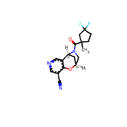 CC1(C(=O)N2C[C@@H]3C[C@H]2c2cncc(C#N)c2O3)CCC(F)(F)C1